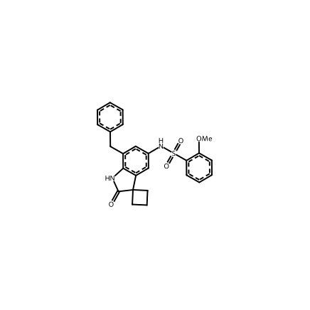 COc1ccccc1S(=O)(=O)Nc1cc(Cc2ccccc2)c2c(c1)C1(CCC1)C(=O)N2